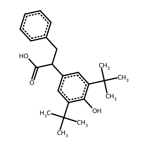 CC(C)(C)c1cc(C(Cc2ccccc2)C(=O)O)cc(C(C)(C)C)c1O